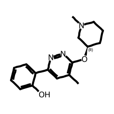 Cc1cc(-c2ccccc2O)nnc1O[C@@H]1CCCN(C)C1